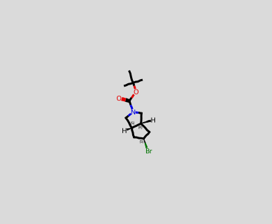 CC(C)(C)OC(=O)N1C[C@H]2C[C@H](Br)C[C@H]2C1